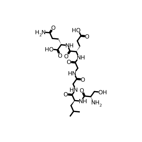 CC(C)C[C@H](NC(=O)[C@@H](N)CO)C(=O)NCC(=O)NCC(=O)N[C@@H](CCC(=O)O)C(=O)N[C@@H](CCC(N)=O)C(=O)O